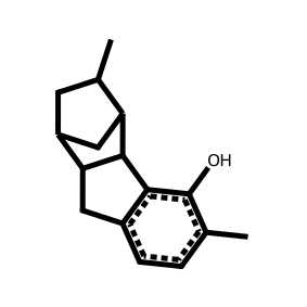 Cc1ccc2c(c1O)C1C3CC(CC3C)C1C2